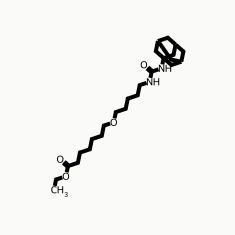 CCOC(=O)CCCCCCOCCCCCNC(=O)NC12CC3CC(CC(C3)C1)C2